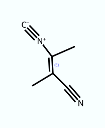 [C-]#[N+]/C(C)=C(\C)C#N